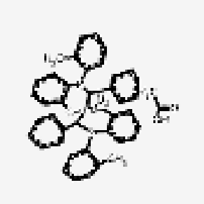 CC(=O)O.Cc1ccccc1P(c1ccccc1C)[CH]([Pd][CH](c1ccccc1)P(c1ccccc1C)c1ccccc1C)c1ccccc1